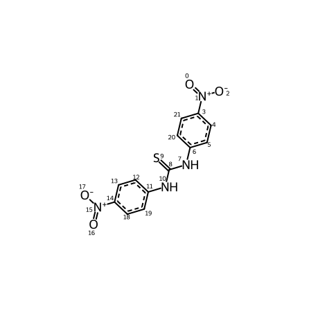 O=[N+]([O-])c1ccc(NC(=S)Nc2ccc([N+](=O)[O-])cc2)cc1